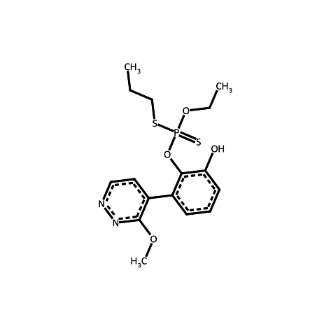 CCCSP(=S)(OCC)Oc1c(O)cccc1-c1ccnnc1OC